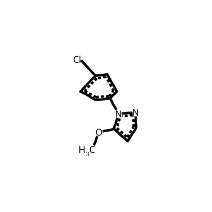 COc1ccnn1-c1ccc(Cl)cc1